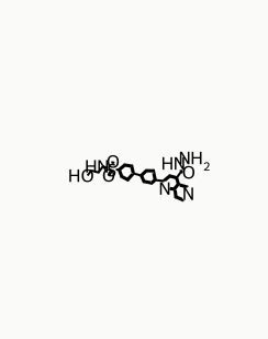 NNC(=O)c1cc(-c2ccc(-c3ccc(S(=O)(=O)NCCO)cc3)cc2)nc2ccncc12